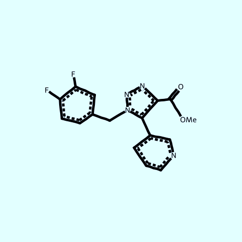 COC(=O)c1nnn(Cc2ccc(F)c(F)c2)c1-c1cccnc1